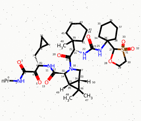 CCCNC(=O)C(=O)[C@H](CC1CC1)NC(=O)[C@@H]1[C@@H]2[C@H](CN1C(=O)[C@@H](NC(=O)NC1(C3OCCS3(=O)=O)CCCCC1)C1(C)CCCCC1)C2(C)C